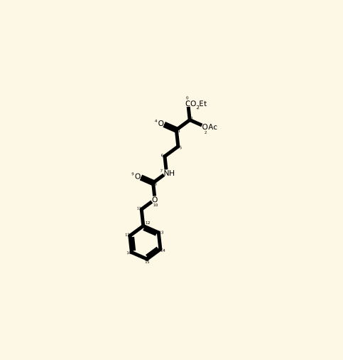 CCOC(=O)C(OC(C)=O)C(=O)CCNC(=O)OCc1ccccc1